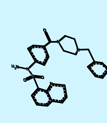 NN(c1ccc(C(=O)N2CCN(Cc3ccccc3)CC2)cc1)S(=O)(=O)c1cccc2cccnc12